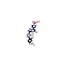 Cc1ccc(-c2noc(-c3cnn4c(C5CCN(C(=O)O)CC5)cc(=O)[nH]c34)n2)c(Cl)c1